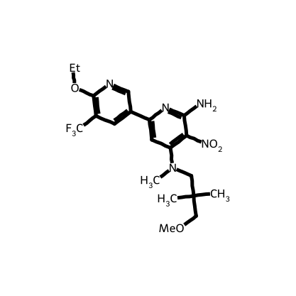 CCOc1ncc(-c2cc(N(C)CC(C)(C)COC)c([N+](=O)[O-])c(N)n2)cc1C(F)(F)F